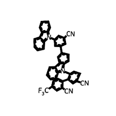 N#Cc1cc(-c2ccc3c(c2)c2ccccc2n3-c2ccc(C#N)cc2-c2ccc(C(F)(F)F)cc2C#N)cc(-n2c3ccccc3c3ccccc32)c1